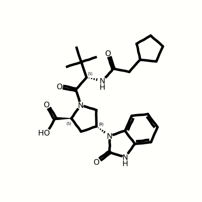 CC(C)(C)[C@H](NC(=O)CC1CCCC1)C(=O)N1C[C@H](n2c(=O)[nH]c3ccccc32)C[C@H]1C(=O)O